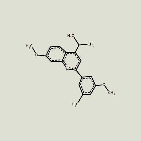 COc1cc(C)cc(-c2cc(C(C)C)c3ccc(OC)cc3n2)c1